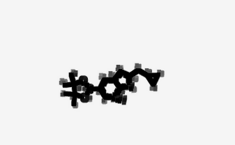 CC1(C)OB(c2c[nH]c3nc(CC4CC4)cc-3c2)OC1(C)C